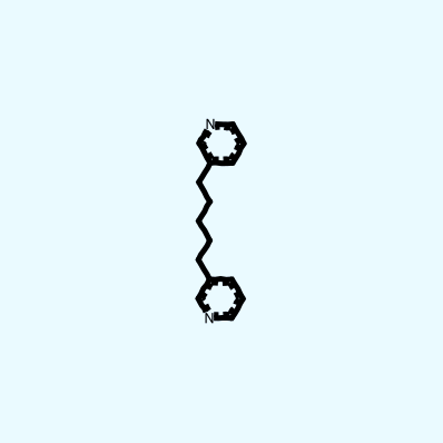 c1cncc(CCCCCc2cccnc2)c1